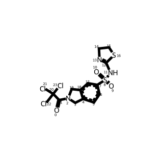 O=C(N1Cc2ccc(S(=O)(=O)NC3=NCCS3)cc2C1)C(Cl)(Cl)Cl